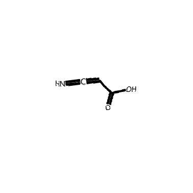 N=C=CC(=O)O